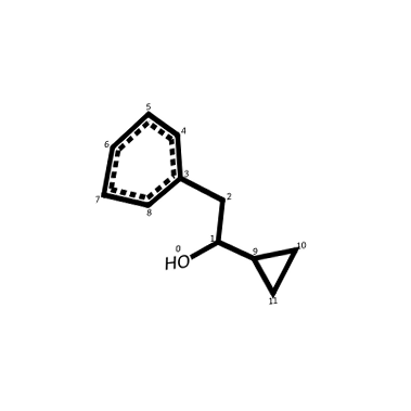 OC(Cc1ccccc1)C1CC1